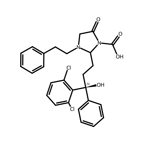 O=C(O)N1C(=O)CN(CCc2ccccc2)C1CC[C@](O)(c1ccccc1)c1c(Cl)cccc1Cl